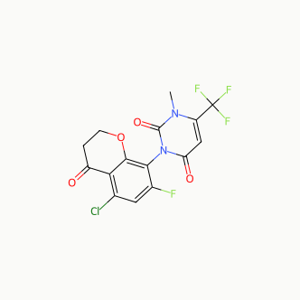 Cn1c(C(F)(F)F)cc(=O)n(-c2c(F)cc(Cl)c3c2OCCC3=O)c1=O